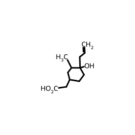 C=CCC1(O)CCC(CC(=O)O)CC1C